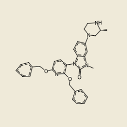 C[C@H]1CN(c2ccc3c(c2)n(C)c(=O)n3-c2ccc(OCc3ccccc3)nc2OCc2ccccc2)CCN1